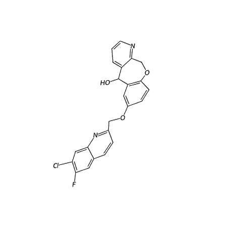 OC1c2cc(OCc3ccc4cc(F)c(Cl)cc4n3)ccc2OCc2ncccc21